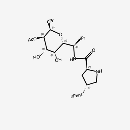 CCCCC[C@H]1CN[C@H](C(=O)N[C@H](C(C)C)[C@H]2O[C@H](CCC)[C@H](OC(C)=O)[C@@H](O)[C@H]2O)C1